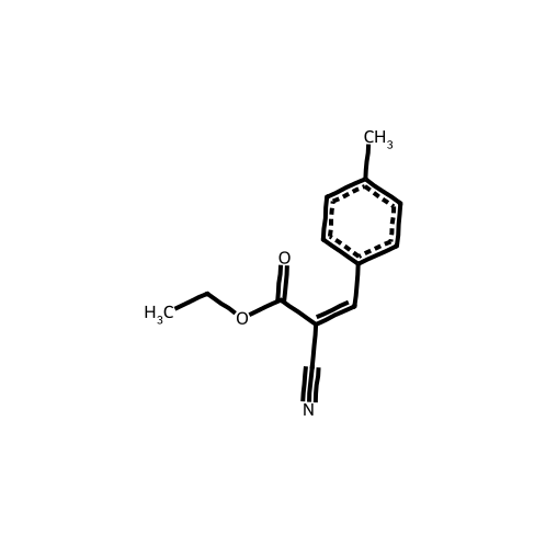 CCOC(=O)C(C#N)=Cc1ccc(C)cc1